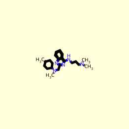 CC1CCC(N(C)Cc2nc(NCCCN(C)C)c3ccccc3n2)CC1